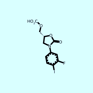 O=C(O)OC[C@H]1CN(c2ccc(I)c(F)c2)C(=O)O1